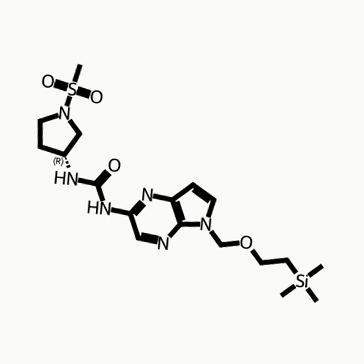 C[Si](C)(C)CCOCn1ccc2nc(NC(=O)N[C@@H]3CCN(S(C)(=O)=O)C3)cnc21